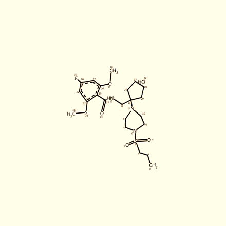 CCCS(=O)(=O)N1CCN(C2(CNC(=O)c3c(OC)cc(F)cc3SC)CCCC2)CC1.Cl